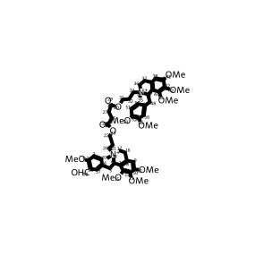 COc1ccc(CC2c3c(cc(OC)c(OC)c3OC)CC[N+]2(C)CCCOC(=O)CCC(=O)OCCC[N+]2(C)CCc3cc(OC)c(OC)c(OC)c3C2Cc2ccc(OC)c(OC)c2)cc1C=O